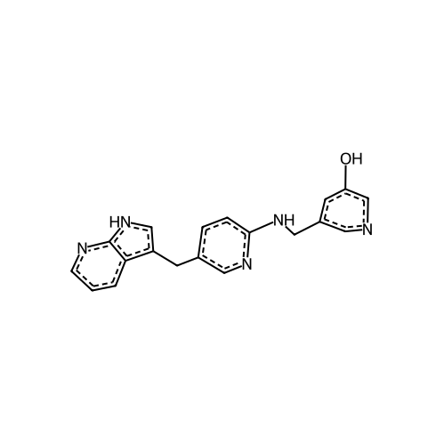 Oc1cncc(CNc2ccc(Cc3c[nH]c4ncccc34)cn2)c1